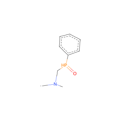 [CH2]N(C)C[PH](=O)c1ccccc1